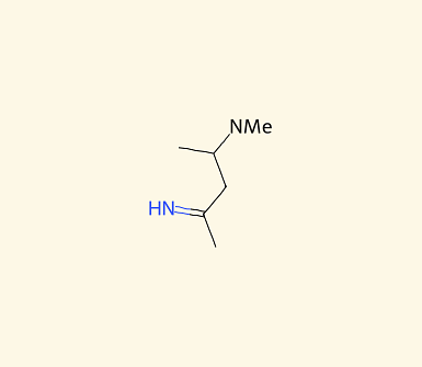 CNC(C)CC(C)=N